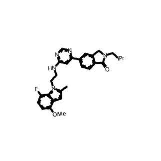 COc1ccc(F)c2c1cc(C)n2CCNc1cc(-c2ccc3c(c2)CN(CC(C)C)C3=O)ncn1